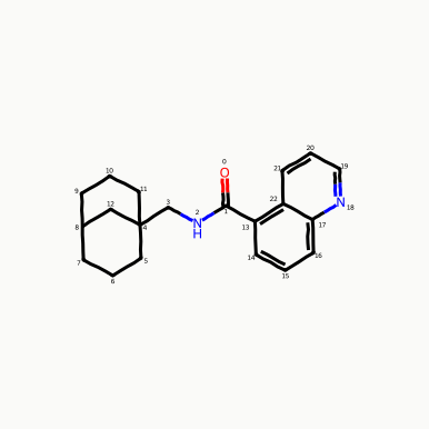 O=C(NCC12CCCC(CCC1)C2)c1cccc2ncccc12